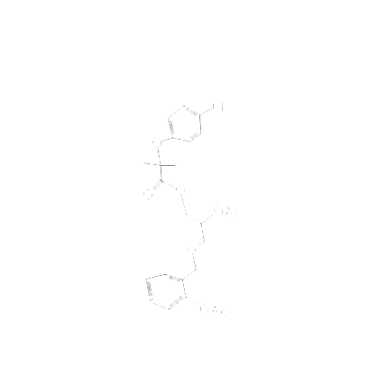 CC(=O)Oc1ccccc1COCC(COC(=O)C(C)(C)Oc1ccc(Cl)cc1)OC(C)=O